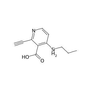 C#Cc1nccc([SiH2]CCC)c1C(=O)O